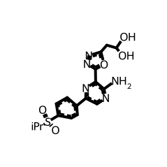 CC(C)S(=O)(=O)c1ccc(-c2cnc(N)c(-c3nnc(CC(O)O)o3)n2)cc1